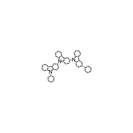 c1ccc(-c2ccc3c(c2)c2ccccc2n3-c2ccc3c(c2)c2ccccc2n3-c2ccc3c(c2)c2ccccc2n3-c2ccccc2)cc1